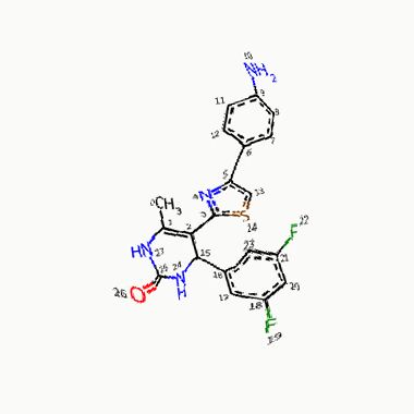 CC1=C(c2nc(-c3ccc(N)cc3)cs2)C(c2cc(F)cc(F)c2)NC(=O)N1